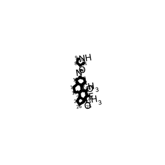 C[C@]12CCC(=NOC3CCNC3)CC1CCC1C2C(=O)C(F)[C@]2(C)C(=O)CCC12